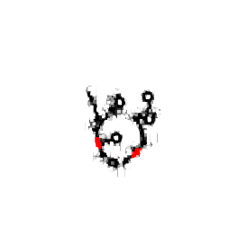 CCCOCCNC(=O)C1CCN(C(=O)c2cccc(=O)n2C)CCCCN(C(=O)c2cccc(=O)n2OCc2ccccc2)CCCNC(=O)c2ccc(c(=O)n2C)C(=O)N[C@@H]2COC[C@@H]2NC(=O)c2ccc(n(OCc3ccccc3)c2=O)C(=O)N1